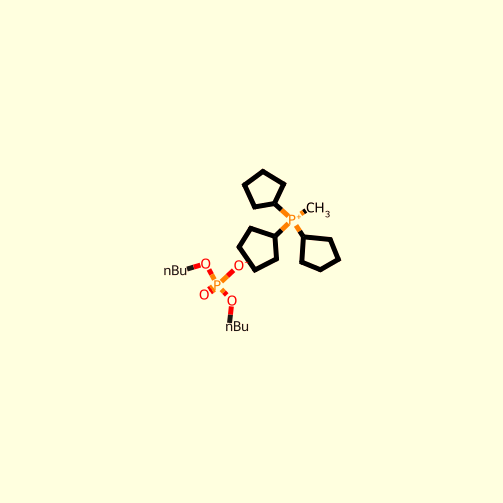 CCCCOP(=O)([O-])OCCCC.C[P+](C1CCCC1)(C1CCCC1)C1CCCC1